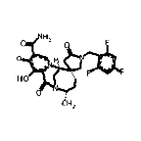 C[C@H]1CC[C@@]2(CC(=O)N(Cc3c(F)cc(F)cc3F)C2)[C@H]2CN1C(=O)c1c(O)c(=O)c(C(N)=O)cn12